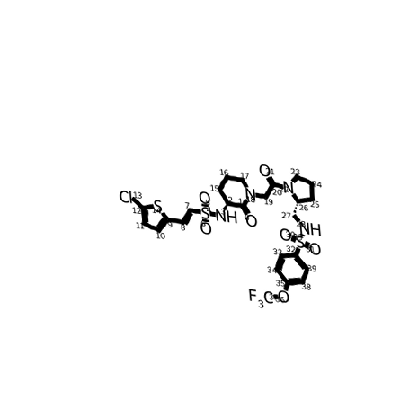 O=C1[C@@H](NS(=O)(=O)/C=C/c2ccc(Cl)s2)CCCN1CC(=O)N1CCC[C@@H]1CNS(=O)(=O)c1ccc(OC(F)(F)F)cc1